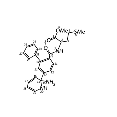 COC(=O)C(CCSC)NC(=O)c1ccc(C2(N)C=CC=CN2)cc1-c1ccccc1